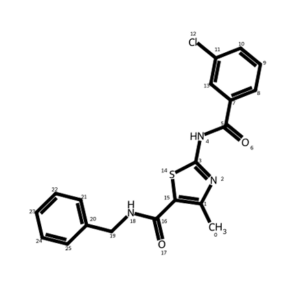 Cc1nc(NC(=O)c2cccc(Cl)c2)sc1C(=O)NCc1ccccc1